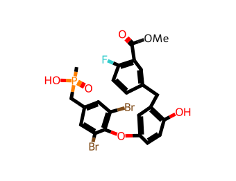 COC(=O)c1cc(Cc2cc(Oc3c(Br)cc(CP(C)(=O)O)cc3Br)ccc2O)ccc1F